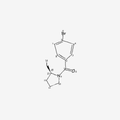 O=C(c1ccc(Br)cc1)N1CCC[C@H]1I